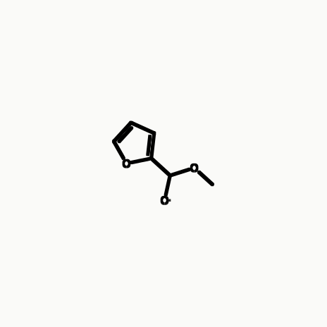 COC([O])c1ccco1